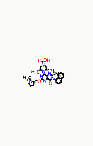 Cc1nc2c(N3[C@@H](C)CN(C(=O)O)C[C@@H]3C)nc(OC[C@@H]3CCCN3C)nc2c(=O)n1-c1cccc2cccc(Cl)c12